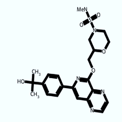 CNS(=O)(=O)N1CCOC(COc2nc(-c3ccc(C(C)(C)O)cc3)cc3nccnc23)C1